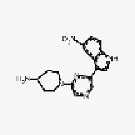 NC1CCN(c2cncc(-c3c[nH]c4ccc([N+](=O)[O-])cc34)n2)CC1